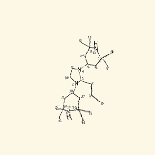 CCCC1N(C2CC(C)(C)NC(C)(C)C2)CCN1C1CC(C)(C)NC(C)(C)C1